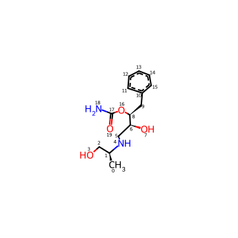 C[C@@H](CO)NC[C@H](O)[C@H](Cc1ccccc1)OC(N)=O